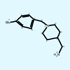 CC(C)(C)c1ccc(CN2CCC(CN)CC2)cc1